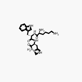 NCCCC[C@H](N)C(=O)N[C@@H](Cc1c[nH]c2ccccc12)C(=O)N[C@@H](Cc1c[nH]cn1)C(N)=O